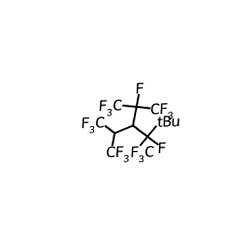 CC(C)(C)C(F)(C(C(C(F)(F)F)C(F)(F)F)C(F)(C(F)(F)F)C(F)(F)F)C(F)(F)F